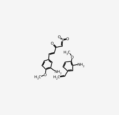 C=Cc1ccc(OC)c(N)c1.COc1ccc(C=CC(=O)C=S(=O)=O)cc1N